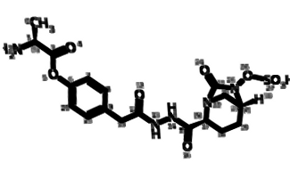 C[C@H](N)C(=O)Oc1ccc(CC(=O)NNC(=O)[C@@H]2CC[C@@H]3CN2C(=O)N3OS(=O)(=O)O)cc1